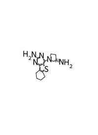 Nc1nc(N2CC[C@H](N)C2)c2sc3c(c2n1)CCCC3